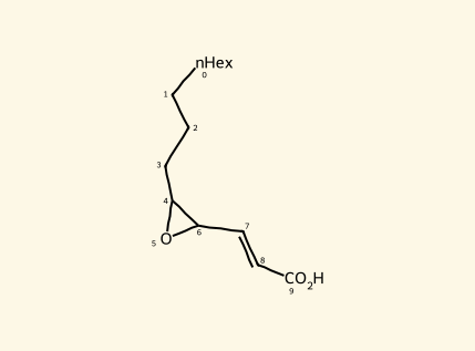 CCCCCCCCCC1OC1/C=C/C(=O)O